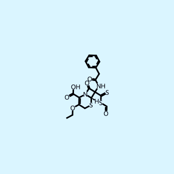 CCOC1=C(C(=O)O)N2C(=O)C(NC(=O)Cc3ccccc3)(C(=S)SC=O)[C@@H]2SC1